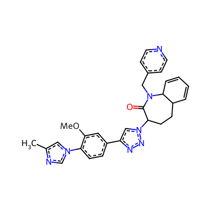 COc1cc(-c2cn(C3CCC4C=CC=CC4N(Cc4ccncc4)C3=O)nn2)ccc1-n1cnc(C)c1